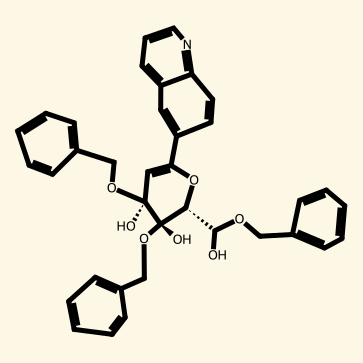 OC(OCc1ccccc1)[C@H]1OC(c2ccc3ncccc3c2)=C[C@](O)(OCc2ccccc2)[C@@]1(O)OCc1ccccc1